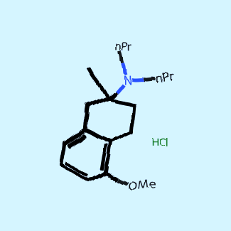 CCCN(CCC)C1(C)CCc2c(cccc2OC)C1.Cl